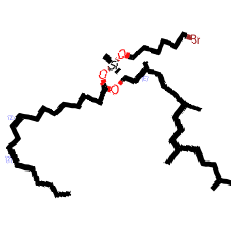 CCCCC/C=C\C/C=C\CCCCCCCC(OC/C=C(\C)CCCC(C)CCCC(C)CCCC(C)C)O[Si](C)(C)OCCCCCCBr